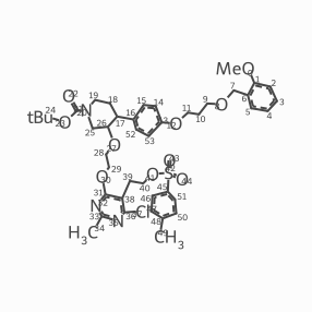 COc1ccccc1COCCCOc1ccc(C2CCN(C(=O)OC(C)(C)C)CC2OCCOc2nc(C)nc(Cl)c2CCOS(=O)(=O)c2ccc(C)cc2)cc1